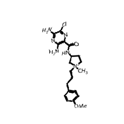 COc1ccc(CCC[N+]2(C)CCC(NC(=O)c3nc(Cl)c(N)nc3N)C2)cc1